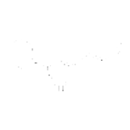 N#CC=Cc1cncc(N2CCOCC2)c1